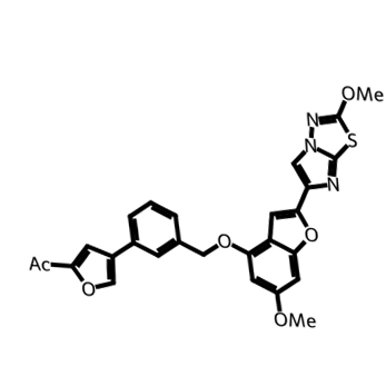 COc1cc(OCc2cccc(-c3coc(C(C)=O)c3)c2)c2cc(-c3cn4nc(OC)sc4n3)oc2c1